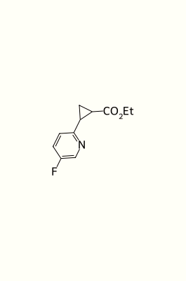 CCOC(=O)C1CC1c1ccc(F)cn1